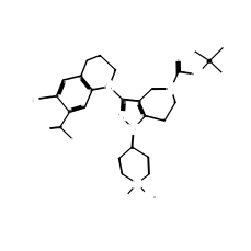 CC(C)(C)OC(=O)N1CCc2c(c(N3CCCc4cc(Br)c(C(F)F)cc43)nn2C2CCS(O)(O)CC2)C1